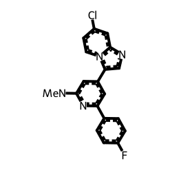 CNc1cc(-c2cnc3cc(Cl)ccn23)cc(-c2ccc(F)cc2)n1